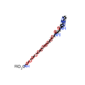 O=C(O)NCCOCCOCCOCCOCCOCCOCCOCCOCCOCCOCCOCCNC(=O)CCCC(=O)Nc1ccc(-c2nnc(-c3ccccn3)nn2)nc1